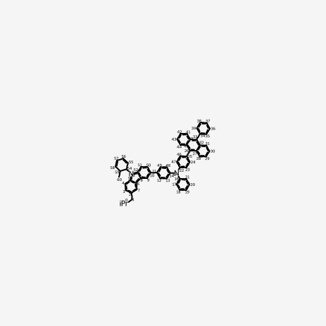 CC(C)Cc1ccc2c(c1)c1cc(-c3ccc(N(c4ccccc4)c4ccc(-c5c6ccccc6c(-c6ccccc6)c6ccccc56)cc4)cc3)ccc1n2C1C=CC=CC1C